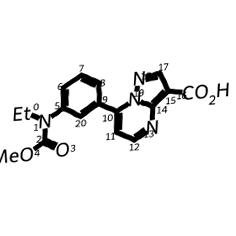 CCN(C(=O)OC)c1cccc(-c2ccnc3c(C(=O)O)cnn23)c1